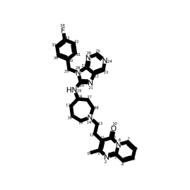 Cc1nc2ccccn2c(=O)c1CCN1CCCC(Nc2nc3cncnc3n2Cc2ccc(F)cc2)CC1